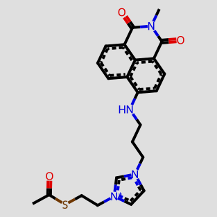 CC(=O)SCC[n+]1ccn(CCCNc2ccc3c4c(cccc24)C(=O)N(C)C3=O)c1